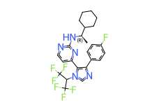 C[C@@H](Nc1nccc(-c2c(-c3ccc(F)cc3)ncn2C(C(F)(F)F)C(F)(F)F)n1)C1CCCCC1